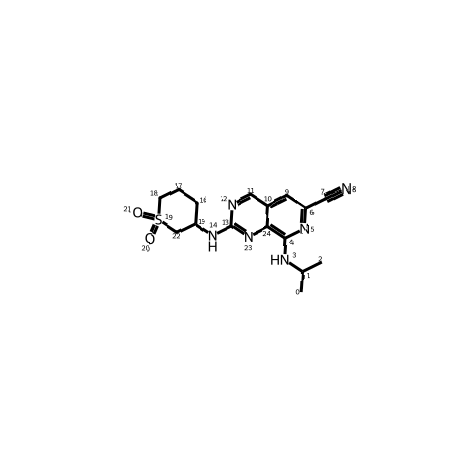 CC(C)Nc1nc(C#N)cc2cnc(NC3CCCS(=O)(=O)C3)nc12